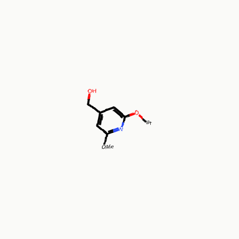 COc1cc(CO)cc(OC(C)C)n1